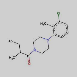 CC(=O)CC(C)C(=O)N1CCN(c2cccc(Cl)c2C)CC1